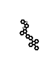 c1ccc(-c2c3ccccc3c(-c3ccc4cc(-c5cc6c7ccc8oc9ccccc9c8c7oc6c6ccccc56)ccc4c3)c3ccccc23)cc1